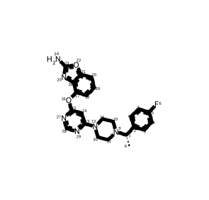 C[C@@H](c1ccc(F)cc1)N1CCN(c2cc(Oc3cccc4oc(N)nc34)ncn2)CC1